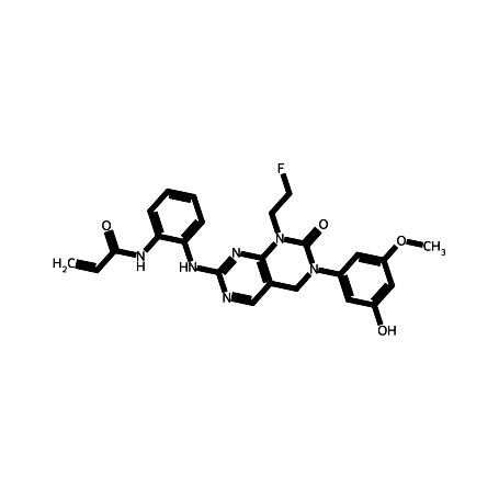 C=CC(=O)Nc1ccccc1Nc1ncc2c(n1)N(CCF)C(=O)N(c1cc(O)cc(OC)c1)C2